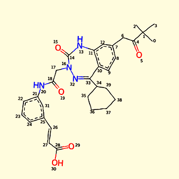 CC(C)(C)C(=O)Cc1ccc2c(c1)NC(=O)N(CC(=O)Nc1cccc(C=CC(=O)O)c1)N=C2C1CCCCC1